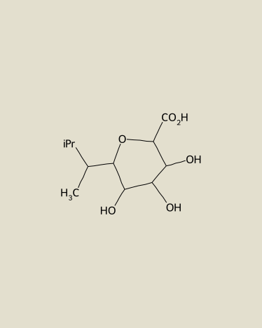 CC(C)C(C)C1OC(C(=O)O)C(O)C(O)C1O